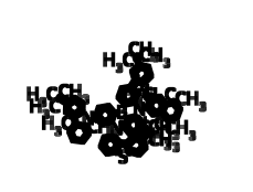 Cc1cc2c3c(c1)N(c1cccc4sc5ccc(C(C)(C)C)cc5c14)c1cc(N4c5ccc(C(C)(C)C)cc5C5(C)CCCCC45C)ccc1B3c1ccc3c(sc4ccc(C(C)(C)C)cc43)c1N2c1cc2c(cc1C)C(C)(C)CCC2(C)C